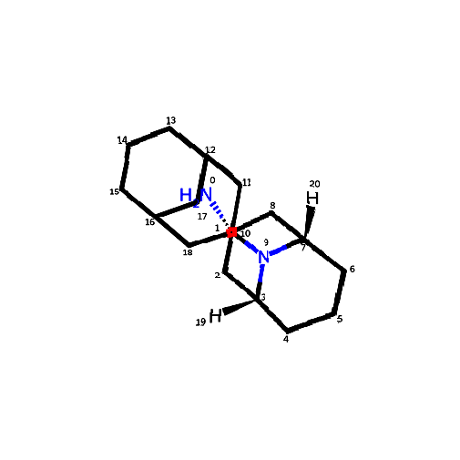 N[C@H]1C[C@H]2CCC[C@@H](C1)N2C1CC2CCCC(C2)C1